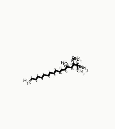 CCCCCCCCCCCCCC(O)CC(=NO)C(C)(C)N